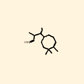 CC(C=N)C(C)C1CCCC(C)C(C)(C)CC1